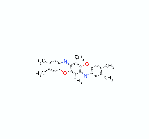 Cc1cc2c(cc1C)Oc1c(C)c3c(c(C)c1=N2)Oc1cc(C)c(C)cc1N=3